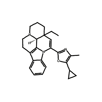 CCC12C=C(c3nc(C)c(C4CC4)o3)n3c4c(c5ccccc53)CCN(CCC1)[C@H]42